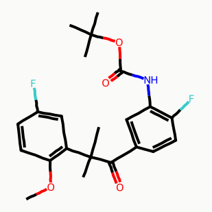 COc1ccc(F)cc1C(C)(C)C(=O)c1ccc(F)c(NC(=O)OC(C)(C)C)c1